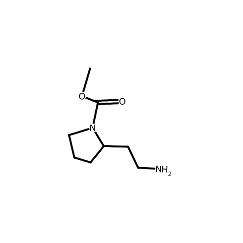 COC(=O)N1CCCC1CCN